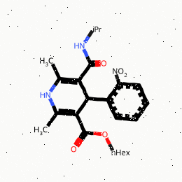 CCCCCCOC(=O)C1=C(C)NC(C)=C(C(=O)NC(C)C)C1c1ccccc1[N+](=O)[O-]